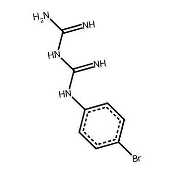 N=C(N)NC(=N)Nc1ccc(Br)cc1